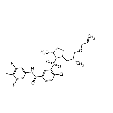 C=CCOC[C@H](C)C[C@@H]1CC[C@@H](C)C1S(=O)(=O)c1cc(C(=O)Nc2cc(F)c(F)c(F)c2)ccc1Cl